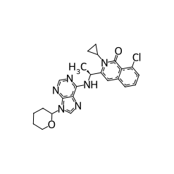 C[C@H](Nc1ncnc2c1ncn2C1CCCCO1)c1cc2cccc(Cl)c2c(=O)n1C1CC1